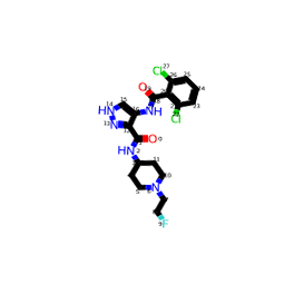 O=C(NC1CCN(CCF)CC1)c1n[nH]cc1NC(=O)c1c(Cl)cccc1Cl